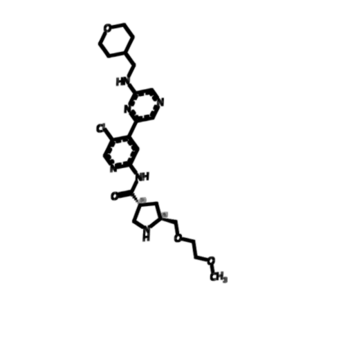 COCCOC[C@@H]1C[C@@H](C(=O)Nc2cc(-c3cncc(NCC4CCOCC4)n3)c(Cl)cn2)CN1